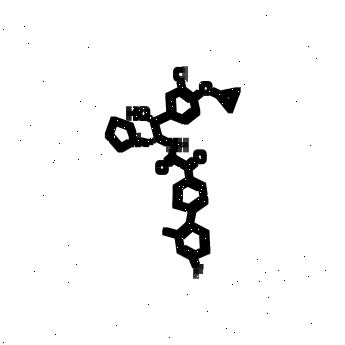 Cc1cc(F)ccc1-c1ccc(C(=O)C(=O)N[C@H](CN2CCCC2)[C@H](O)c2ccc(OC3CC3)c(Cl)c2)cc1